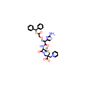 Nc1nc(C(=NOCC(=O)OC(c2ccccc2)c2ccccc2)C(=O)N[C@@H]2C(=O)N3CC(C[n+]4ccccc4)(C(=O)[O-])CS[C@H]23)cs1